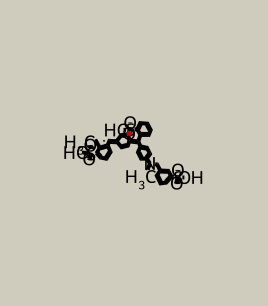 CCc1c([C]=c2ccc(=C(c3ccc(N(CC)Cc4cccc(S(=O)(=O)O)c4)cc3)c3ccccc3S(=O)(=O)O)cc2)cccc1S(=O)(=O)O